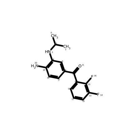 CC(C)Nc1cc(C(=O)c2cccc(F)c2F)ccc1N